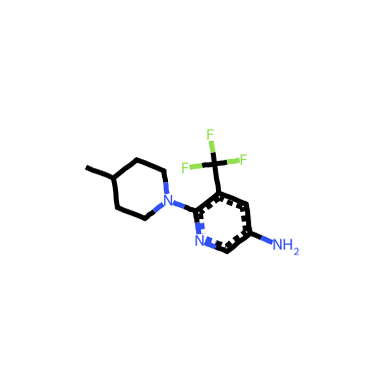 CC1CCN(c2ncc(N)cc2C(F)(F)F)CC1